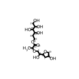 CC(OCC(O)C1CC(O)CO1)C(=O)OCCC(O)C(O)C(O)CO